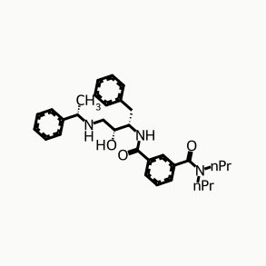 CCCN(CCC)C(=O)c1cccc(C(=O)N[C@@H](Cc2ccccc2)[C@H](O)CN[C@@H](C)c2ccccc2)c1